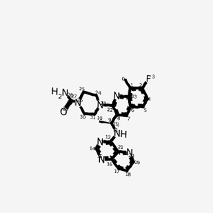 Cc1c(F)ccc2cc([C@H](C)Nc3ncnc4cccnc34)c(N3CCN(C(N)=O)CC3)nc12